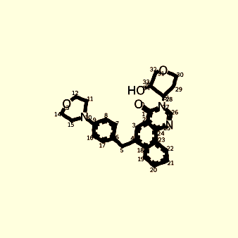 O=c1c2cc(Cc3ccc(N4CCOCC4)cc3)c3ccccc3c2ncn1[C@H]1CCOC[C@@H]1O